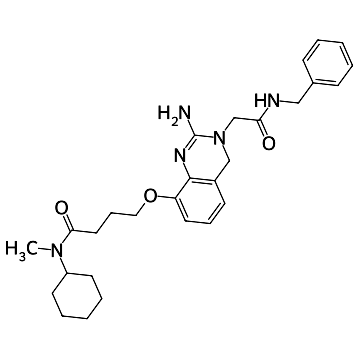 CN(C(=O)CCCOc1cccc2c1N=C(N)N(CC(=O)NCc1ccccc1)C2)C1CCCCC1